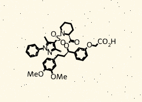 COc1ccc(CC[C@@H](OC(=O)[C@@H]2CCCCN2S(=O)(=O)c2c(C)nn(-c3ccccc3)c2C)c2cccc(OCC(=O)O)c2)cc1OC